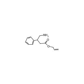 C=CCOC(=O)CC(CN)c1ccccc1